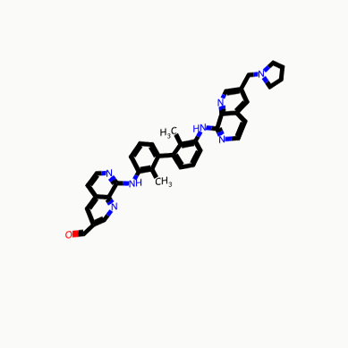 Cc1c(Nc2nccc3cc(C=O)cnc23)cccc1-c1cccc(Nc2nccc3cc(CN4CCCC4)cnc23)c1C